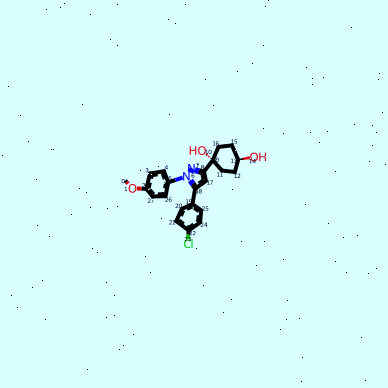 COc1ccc(-n2nc([C@]3(O)CC[C@H](O)CC3)cc2-c2ccc(Cl)cc2)cc1